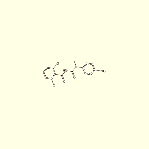 CCCCc1ccc(N(C)C(=O)NC(=O)c2c(Cl)cccc2Cl)cc1